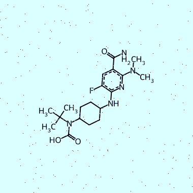 CN(C)c1nc(NC2CCC(N(C(=O)O)C(C)(C)C)CC2)c(F)cc1C(N)=O